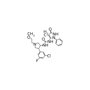 COCCN1CC(c2cc(F)cc(Cl)c2)[C@H](NC(=O)Nc2c(C)c(=O)[nH]n2-c2ccccc2)C1